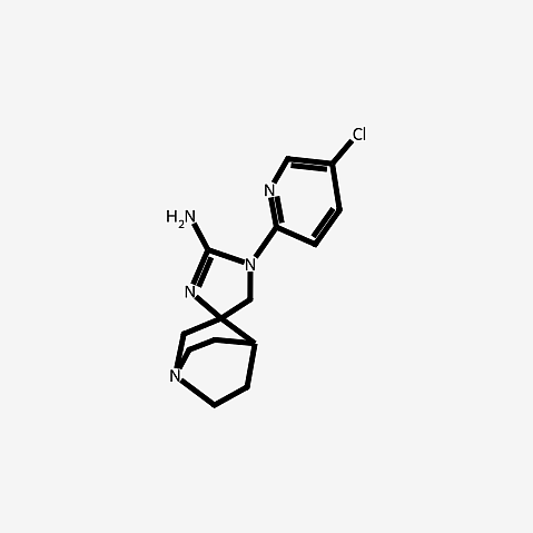 NC1=NC2(CN3CCC2CC3)CN1c1ccc(Cl)cn1